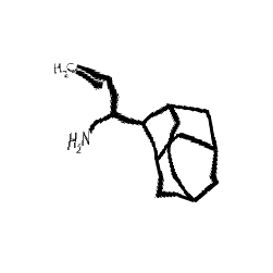 C=CC(N)C1C2CC3CC(C2)CC1C3